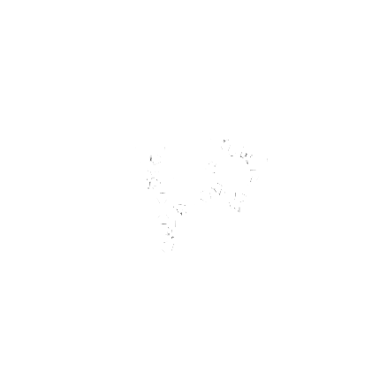 CC(Cc1cccc(C2(C)CCC(C)(C)COc3cn(nn3)Cc3c(c(F)cc4[nH]ccc34)Oc3ccc(F)c(c3)-c3nc2nn3C)c1)C(=O)O.CCOC(=O)C(C)Cc1cccc(C(C)(CCC(C)(C)CO)c2nc(-c3cc(Oc4c(F)cc5c(ccn5S(=O)(=O)c5ccccc5)c4Cn4cc(OCc5ccccc5)nn4)ccc3F)n(C)n2)c1